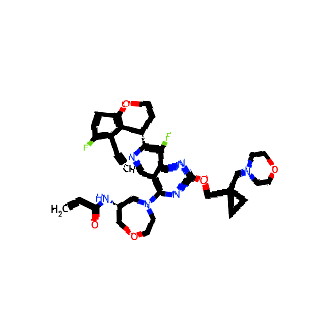 C#Cc1c(F)ccc2c1[C@@H](c1ncc3c(N4CCOC[C@H](NC(=O)C=C)C4)nc(OCC4(CN5CCOCC5)CC4)nc3c1F)CCO2